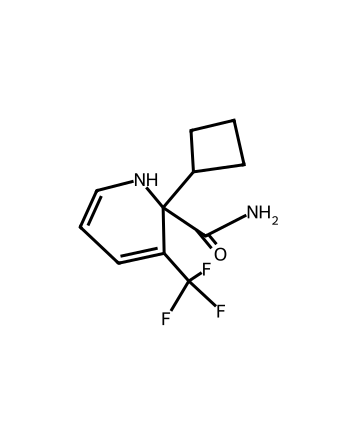 NC(=O)C1(C2CCC2)NC=CC=C1C(F)(F)F